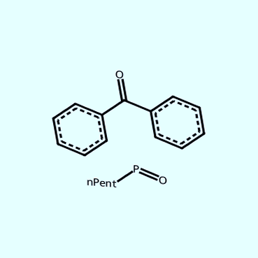 CCCCCP=O.O=C(c1ccccc1)c1ccccc1